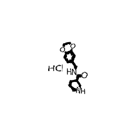 Cl.O=C(NCc1ccc2c(c1)OCCO2)C1CCCNC1